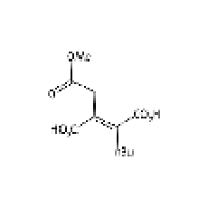 CCCC/C(C(=O)O)=C(/CC(=O)OC)C(=O)O